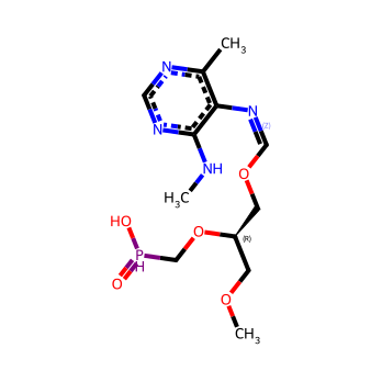 CNc1ncnc(C)c1/N=C\OC[C@@H](COC)OC[PH](=O)O